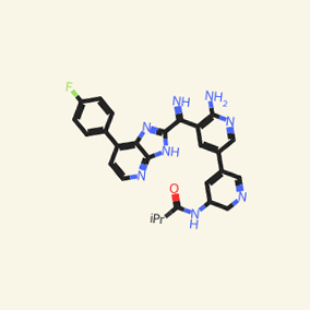 CC(C)C(=O)NC1C=C(c2cnc(N)c(C(=N)c3nc4c(-c5ccc(F)cc5)ccnc4[nH]3)c2)C=NC1